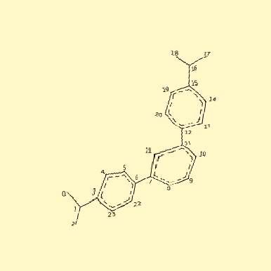 CC(C)c1ccc(-c2cccc(-c3ccc(C(C)C)cc3)c2)cc1